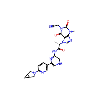 C[C@@H](C(=O)NC1=NC(c2ccc(N3CC4CC4C3)nc2)=CNC1)n1cnc2c1c(=O)n(CC#N)c(=O)n2C